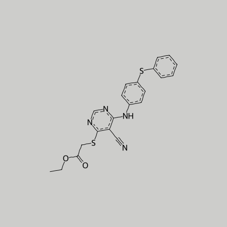 CCOC(=O)CSc1ncnc(Nc2ccc(Sc3ccccc3)cc2)c1C#N